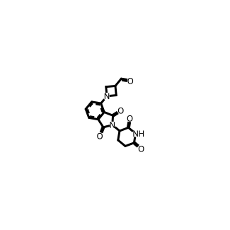 O=CC1CN(c2cccc3c2C(=O)N(C2CCC(=O)NC2=O)C3=O)C1